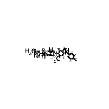 Cc1cc2c(cnn2-c2ccc(F)cc2)cc1N1CC2CN(S(=O)(=O)c3cnn(C)c3)C[C@H]2C1